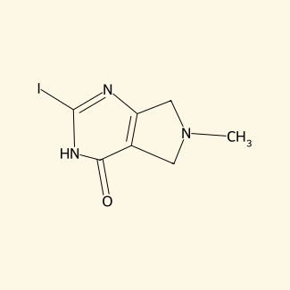 CN1Cc2nc(I)[nH]c(=O)c2C1